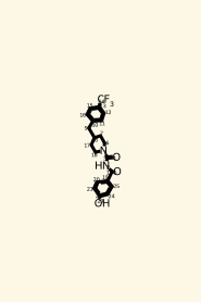 O=C(NC(=O)N1CCC(Cc2ccc(C(F)(F)F)cc2)CC1)c1ccc(O)cc1